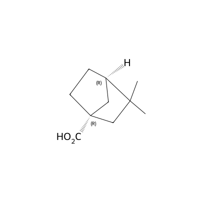 CC1(C)C[C@@]2(C(=O)O)CC[C@@H]1C2